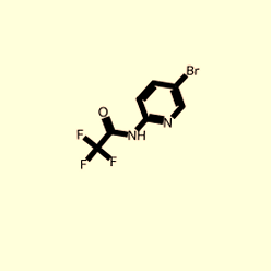 O=C(Nc1ccc(Br)cn1)C(F)(F)F